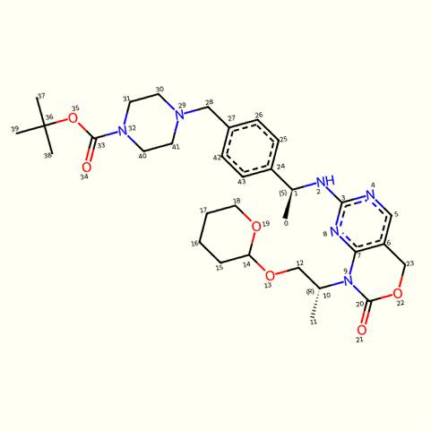 C[C@H](Nc1ncc2c(n1)N([C@H](C)COC1CCCCO1)C(=O)OC2)c1ccc(CN2CCN(C(=O)OC(C)(C)C)CC2)cc1